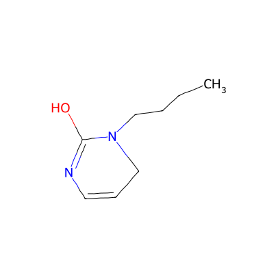 CCCCN1CC=CN=C1O